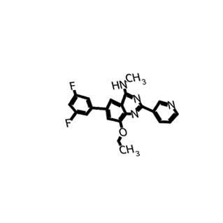 CCOc1cc(-c2cc(F)cc(F)c2)cc2c(NC)nc(-c3cccnc3)nc12